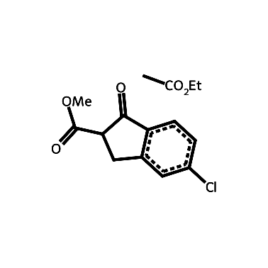 CCOC(C)=O.COC(=O)C1Cc2cc(Cl)ccc2C1=O